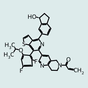 C=CC(=O)N1CCc2ncc(-c3nc(-c4ccc5c(c4)[C@@H](O)CC5)c4ccsc4c3-c3c(F)cc(F)cc3OC(C)C)cc2C1